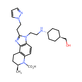 C[C@H]1CCc2c(ccc3c2nc(CCn2cccn2)n3CCN[C@H]2CC[C@H](CO)CC2)N1C(=O)O